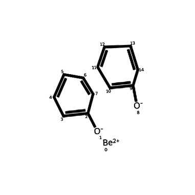 [Be+2].[O-]c1ccccc1.[O-]c1ccccc1